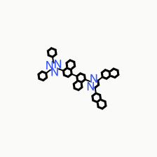 c1ccc(-c2nc(-c3ccccc3)nc(-c3ccc(-c4ccc(-c5nc(-c6ccc7ccccc7c6)cc(-c6ccc7ccccc7c6)n5)c5ccccc45)c4ccccc34)n2)cc1